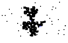 CC/C=C\C[C@@H]1[C@H](/C=C/C(CCC(=O)OC)O[Si](C)(C)C(C)(C)C)[C@@H](O[Si](C)(C)C(C)(C)C)C[C@H]1O[Si](C)(C)C(C)(C)C